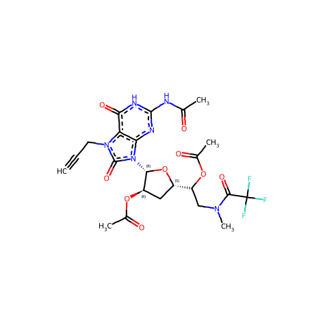 C#CCn1c(=O)n([C@@H]2O[C@H](C(CN(C)C(=O)C(F)(F)F)OC(C)=O)C[C@H]2OC(C)=O)c2nc(NC(C)=O)[nH]c(=O)c21